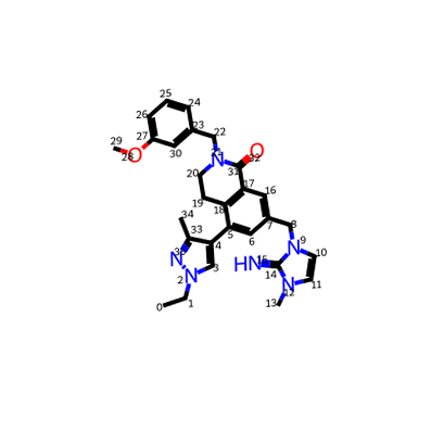 CCn1cc(-c2cc(Cn3ccn(C)c3=N)cc3c2CCN(Cc2cccc(OC)c2)C3=O)c(C)n1